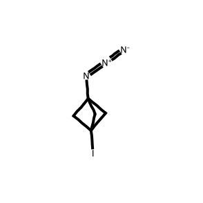 [N-]=[N+]=NC12CC(I)(C1)C2